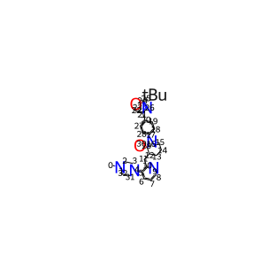 CN1CCN(c2cccnc2CC2CCCN(c3ccc(-c4coc(C(C)(C)C)n4)cc3)C2=O)CC1